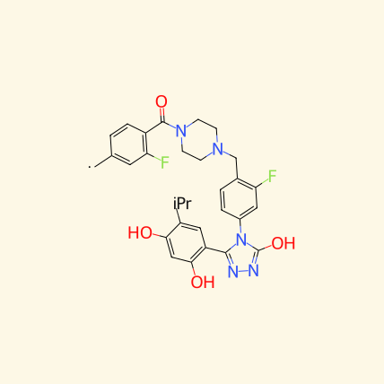 [CH2]c1ccc(C(=O)N2CCN(Cc3ccc(-n4c(O)nnc4-c4cc(C(C)C)c(O)cc4O)cc3F)CC2)c(F)c1